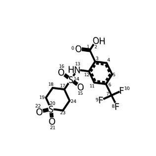 O=C(O)c1ccc(C(F)(F)F)cc1NS(=O)(=O)C1CCS(=O)(=O)CC1